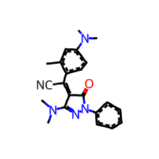 Cc1cc(N(C)C)ccc1/C(C#N)=C1\C(=O)N(c2ccccc2)N=C1N(C)C